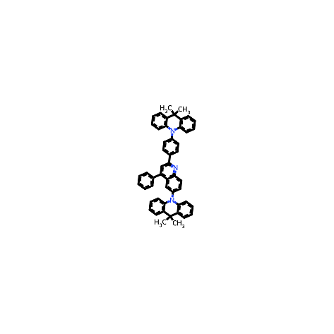 CC1(C)c2ccccc2N(c2ccc(-c3cc(-c4ccccc4)c4cc(N5c6ccccc6C(C)(C)c6ccccc65)ccc4n3)cc2)c2ccccc21